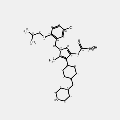 Cc1c(C2CCC(CN3CCOCC3)CC2)c(OC(N)=O)nn1Cc1cc(Cl)ccc1OCC(C)C.Cl